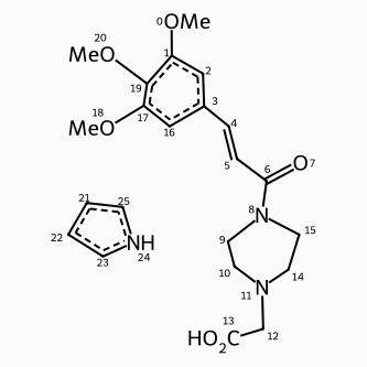 COc1cc(C=CC(=O)N2CCN(CC(=O)O)CC2)cc(OC)c1OC.c1cc[nH]c1